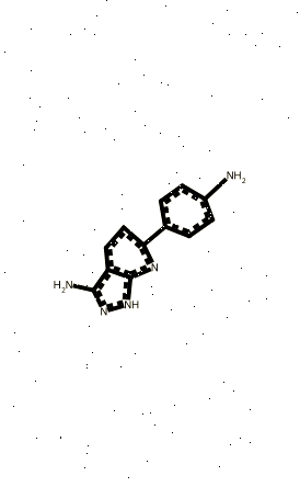 Nc1ccc(-c2ccc3c(N)n[nH]c3n2)cc1